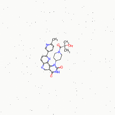 Cc1ccc(-c2ccc3ncc4c(=O)[nH]c(=O)n(C5CCN(C(=O)C(C)(C)O)CC5)c4c3n2)cn1